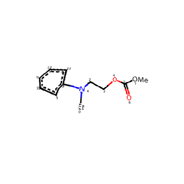 CCN(CCOC(=O)OC)c1ccccc1